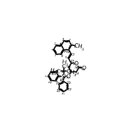 Cc1ccc2ccccc2c1C=CC1CC(O[Si](c2ccccc2)(c2ccccc2)C(C)(C)C)CC(=O)O1